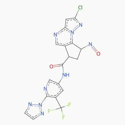 O=NC1CC(C(=O)Nc2cnc(-n3nccn3)c(C(F)(F)F)c2)c2cnc3cc(Cl)nn3c21